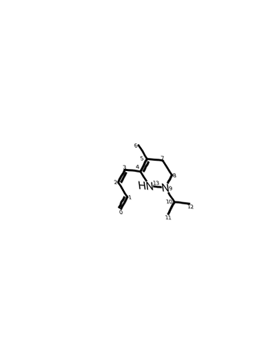 C=C/C=C\C1=C(C)CCN(C(C)C)N1